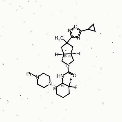 CC(C)N1CCN([C@H]2CCCC(F)(F)[C@@H]2NC(=O)N2C[C@@H]3CC(C)(c4noc(C5CC5)n4)C[C@@H]3C2)CC1